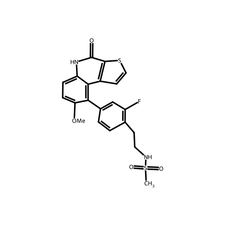 COc1ccc2[nH]c(=O)c3sccc3c2c1-c1ccc(CCNS(C)(=O)=O)c(F)c1